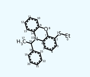 CCSc1cccc2c1Oc1ccccc1N2C(C)c1ccccc1